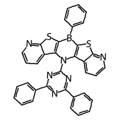 c1ccc(B2c3sc4ncccc4c3N(c3nc(-c4ccccc4)nc(-c4ccccc4)n3)c3c2sc2ncccc32)cc1